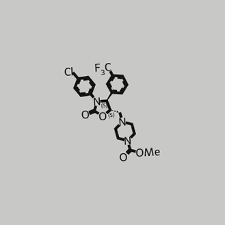 COC(=O)N1CCN(C[C@@H]2OC(=O)N(c3ccc(Cl)cc3)[C@H]2c2cccc(C(F)(F)F)c2)CC1